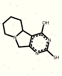 Oc1nc(S)nc2c1C1CCCCN1C2